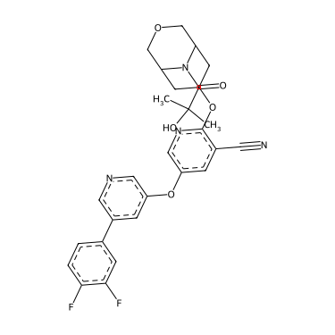 CC(C)(O)C(=O)N1C2COCC1CC(Oc1ncc(Oc3cncc(-c4ccc(F)c(F)c4)c3)cc1C#N)C2